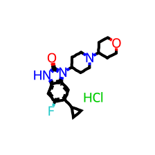 Cl.O=c1[nH]c2cc(F)c(C3CC3)cc2n1C1CCN(C2CCOCC2)CC1